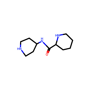 O=C(NC1CCNCC1)C1CCCCN1